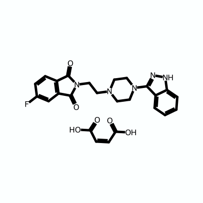 O=C(O)/C=C\C(=O)O.O=C1c2ccc(F)cc2C(=O)N1CCN1CCN(c2n[nH]c3ccccc23)CC1